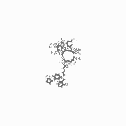 CC[C@H]1OC(=O)[C@H](C)[C@@H](O[C@H]2C[C@@](C)(OC)[C@@H](OC(C)=O)[C@H](C)O2)[C@H](C)[C@@H](O[C@@H]2O[C@H](C)C[C@H](N(C)C)[C@H]2OC(C)=O)[C@](C)(OC)C[C@@H](C)C(=O)/C(C)=C/[C@]1(C)OC(=O)CSCCN(Cc1c(Cl)cncc1Cl)c1ccc(OC)c(OC2CCCC2)c1